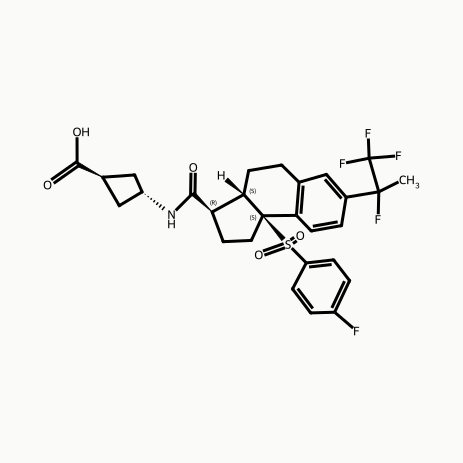 CC(F)(c1ccc2c(c1)CC[C@H]1[C@H](C(=O)N[C@H]3C[C@H](C(=O)O)C3)CC[C@@]21S(=O)(=O)c1ccc(F)cc1)C(F)(F)F